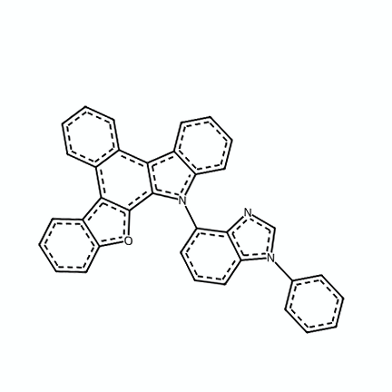 c1ccc(-n2cnc3c(-n4c5ccccc5c5c6ccccc6c6c7ccccc7oc6c54)cccc32)cc1